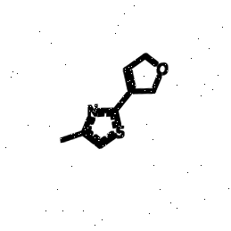 Cc1csc(C2=CCOC2)n1